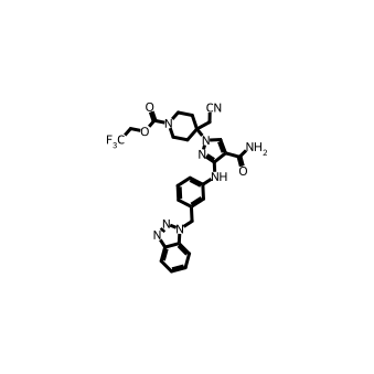 N#CCC1(n2cc(C(N)=O)c(Nc3cccc(Cn4nnc5ccccc54)c3)n2)CCN(C(=O)OCC(F)(F)F)CC1